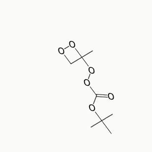 CC(C)(C)OC(=O)OOC1(C)COO1